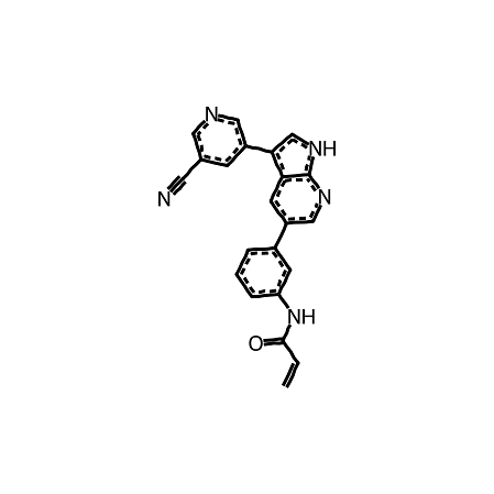 C=CC(=O)Nc1cccc(-c2cnc3[nH]cc(-c4cncc(C#N)c4)c3c2)c1